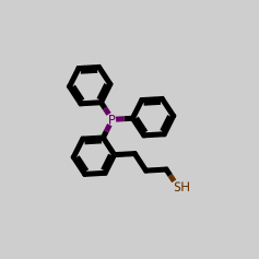 SCCCc1ccccc1P(c1ccccc1)c1ccccc1